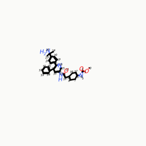 COC(=O)N(C)C1CCC(CC(=O)Nc2cnc(-c3ccc(C(C)(C)N)cc3)c(-c3ccccc3)c2)CC1